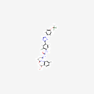 COC(C)c1ccc(C)cc1N1C(=O)CSC1=NC(=O)Nc1ccc(-c2ncn(-c3ccc(OC(F)(F)F)cc3)n2)cc1F